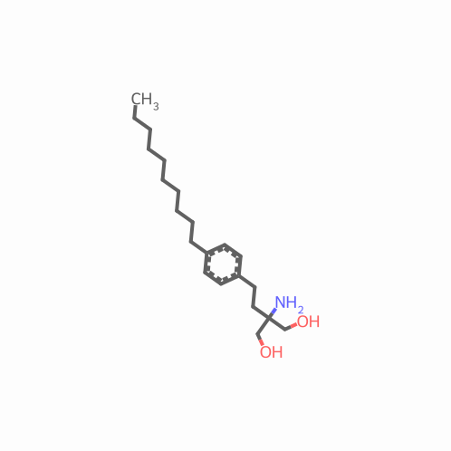 CCCCCCCCCCc1ccc(CCC(N)(CO)CO)cc1